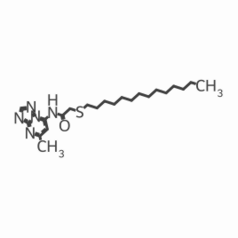 CCCCCCCCCCCCCCSCC(=O)Nc1cc(C)nc2ncnn12